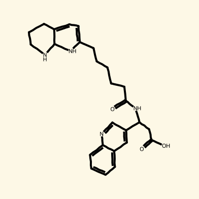 O=C(O)CC(NC(=O)CCCCCC1=CC=C2CCCNC2N1)c1cnc2ccccc2c1